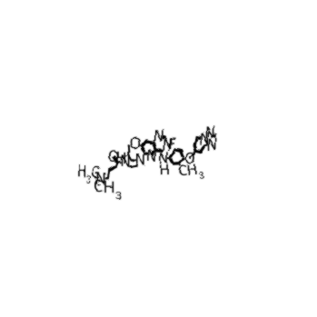 Cc1cc(Nc2ncnc3cc4c(nc23)N2CCN(C(=O)/C=C/CN(C)C)[C@@H](CO4)C2)c(F)cc1Oc1ccn2ncnc2c1